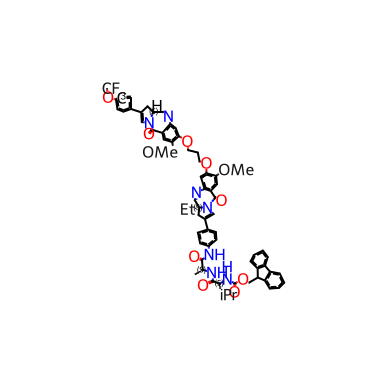 CC[C@]12C=Nc3cc(OCCCOc4cc5c(cc4OC)C(=O)N4C=C(c6ccc(OC(F)(F)F)cc6)C[C@H]4C=N5)c(OC)cc3C(=O)N1C=C(c1ccc(NC(=O)[C@H](C)NC(=O)[C@@H](NC(=O)OCC3c4ccccc4-c4ccccc43)C(C)C)cc1)C2